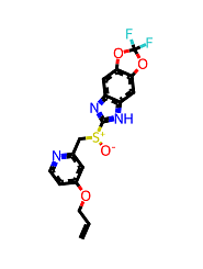 C=CCOc1ccnc(C[S+]([O-])c2nc3cc4c(cc3[nH]2)OC(F)(F)O4)c1